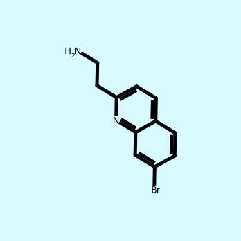 NCCc1ccc2ccc(Br)cc2n1